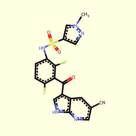 Cn1cc(S(=O)(=O)Nc2ccc(F)c(C(=O)c3c[nH]c4ncc(C#N)cc34)c2F)cn1